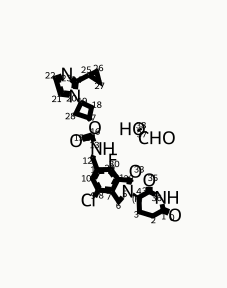 O=C1CC[C@@H](N2Cc3c(Cl)cc(CNC(=O)OC4CC(n5ccnc5C5CC5)C4)c(F)c3C2=O)C(=O)N1.O=CO